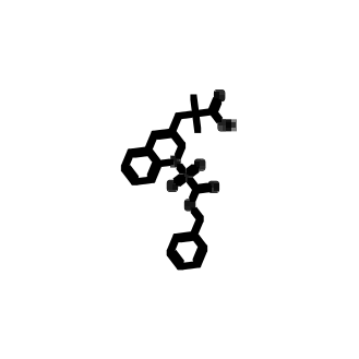 CC(C)(CC1=Cc2ccccc2N(S(=O)(=O)C(=O)OCc2ccccc2)C1)C(=O)O